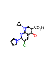 O=C(O)c1cn(C2CC2)c2nc(-n3cccc3)c(Cl)cc2c1=O